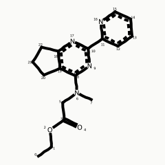 CCOC(=O)CN(C)c1nc(-c2ccccn2)nc2c1CCC2